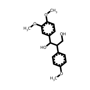 COc1ccc(C(CO)C(O)c2ccc(OC)c(OC)c2)cc1